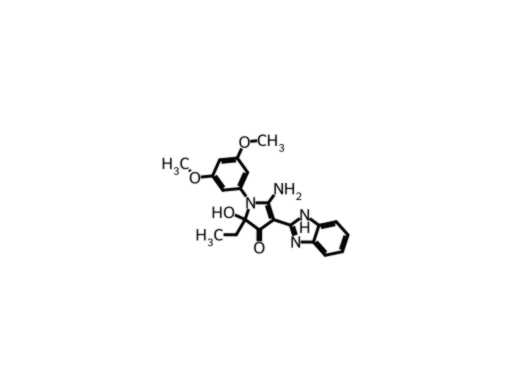 CCC1(O)C(=O)C(c2nc3ccccc3[nH]2)=C(N)N1c1cc(OC)cc(OC)c1